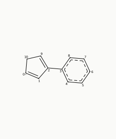 [C]1=CC(c2ccccc2)=CC1